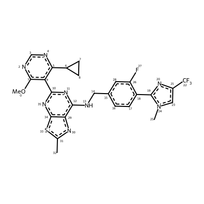 COc1ncnc(C2CC2)c1-c1nc(NCc2ccc(-c3nc(C(F)(F)F)cn3C)c(F)c2)c2nc(C)sc2n1